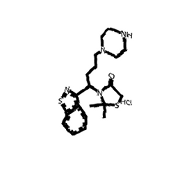 CC1(C)SCC(=O)N1C(CCCN1CCNCC1)c1nsc2ccccc12.Cl